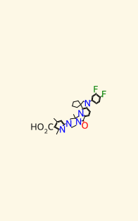 Cc1cc(N2CCN(C(=O)c3ccc4c(n3)C3(CCCC3)CN4c3ccc(F)c(F)c3)C(C)(C)C2)nc(C)c1C(=O)O